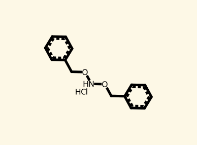 Cl.c1ccc(CONOCc2ccccc2)cc1